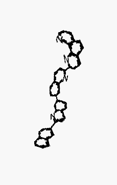 c1ccc2cc(-c3ccc4ccc(-c5ccc6ccc(-c7ccc8ccc9cccnc9c8n7)nc6c5)cc4n3)ccc2c1